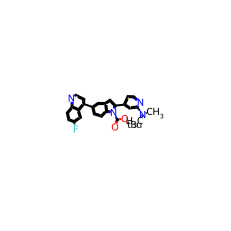 CN(C)c1cc(-c2cc3cc(-c4ccnc5ccc(F)cc45)ccc3n2C(=O)OC(C)(C)C)ccn1